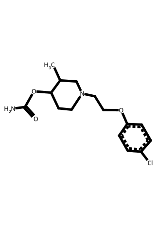 CC1CN(CCOc2ccc(Cl)cc2)CCC1OC(N)=O